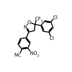 N#Cc1ccc(C2=NOC(c3cc(Cl)cc(Cl)c3)(C(F)(F)F)C2)cc1[N+](=O)[O-]